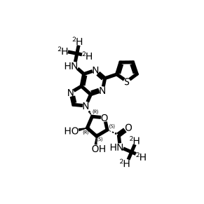 [2H]C([2H])([2H])NC(=O)[C@H]1O[C@@H](n2cnc3c(NC([2H])([2H])[2H])nc(-c4cccs4)nc32)[C@H](O)[C@@H]1O